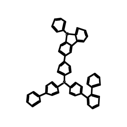 c1ccc(-c2ccc(N(c3ccc(-c4ccc5c(c4)c4ccccc4n5-c4ccccc4)cc3)c3ccc(-c4ccccc4-c4ccccc4)cc3)cc2)cc1